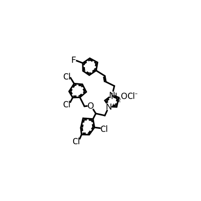 Fc1ccc(/C=C/Cn2cc[n+](CC(OCc3ccc(Cl)cc3Cl)c3ccc(Cl)cc3Cl)c2)cc1.O.[Cl-]